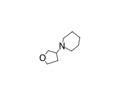 C1CCN(C2CCOC2)CC1